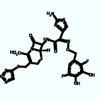 Nc1nc(/C(=N/OCc2cc(F)c(O)c(O)c2F)C(=O)NC2C(=O)N3C(C(=O)O)=C(CSc4cnns4)CS[C@@H]23)cs1